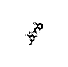 CSc1nc(Cl)c(NC(=O)Cc2c(Cl)cccc2Cl)c(Cl)n1